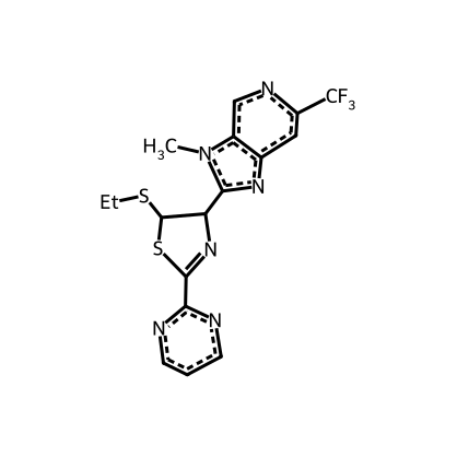 CCSC1SC(c2ncccn2)=NC1c1nc2cc(C(F)(F)F)ncc2n1C